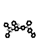 c1ccc(-c2ccc(N(c3ccccc3)c3ccc(-c4ccc(-c5nc(-c6ccccc6)nc(-c6ccccc6)n5)c5c4oc4ccccc45)cc3)cc2)cc1